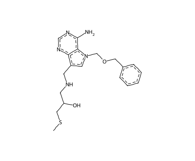 CSCC(O)CNCc1cn(COCc2ccccc2)c2c(N)ncnc12